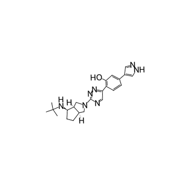 CC(C)(C)N[C@@H]1CC[C@@H]2CN(c3ncc(-c4ccc(-c5cn[nH]c5)cc4O)nn3)C[C@@H]21